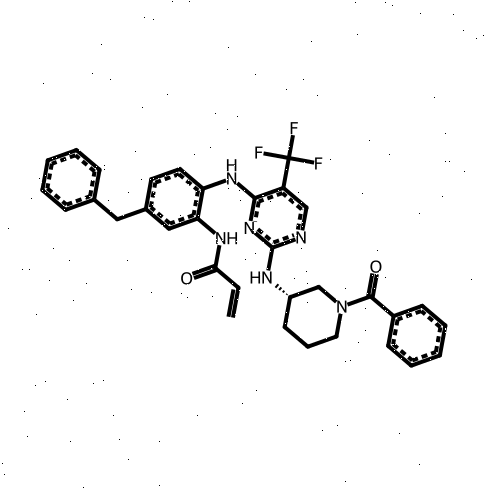 C=CC(=O)Nc1cc(Cc2ccccc2)ccc1Nc1nc(N[C@H]2CCCN(C(=O)c3ccccc3)C2)ncc1C(F)(F)F